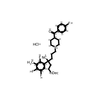 CCCCCCCCCCCCC(C#N)(CCCN1CCC(C(=O)c2ccc(F)cc2)CC1)c1cc(F)c(F)c(C)c1F.Cl